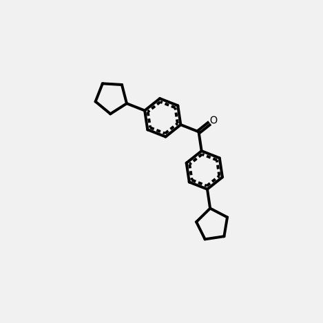 O=C(c1ccc(C2CCCC2)cc1)c1ccc(C2CCCC2)cc1